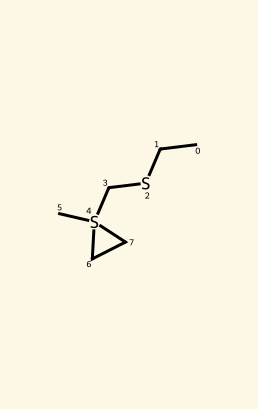 CCSCS1(C)CC1